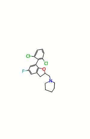 Fc1cc2c(c(-c3c(Cl)cccc3Cl)c1)OC(CN1CCCCC1)C2